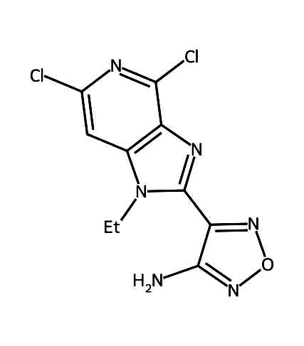 CCn1c(-c2nonc2N)nc2c(Cl)nc(Cl)cc21